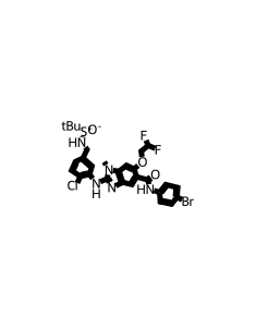 Cn1c(Nc2cc(CN[S+]([O-])C(C)(C)C)ccc2Cl)nc2cc(C(=O)Nc3ccc(Br)cc3)c(OCC(F)F)cc21